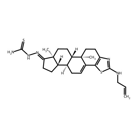 C=CCNc1nc2c(s1)C1=CC[C@@H]3[C@H](CC[C@]4(C)/C(=N/NC(N)=S)CC[C@@H]34)[C@@]1(C)CC2